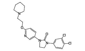 O=C1N(c2ccc(OCCN3CCCCC3)nc2)CCN1c1ccc(Cl)c(Cl)c1